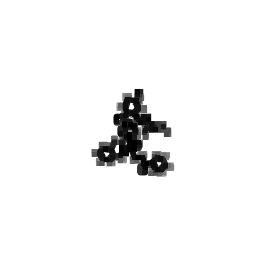 NCC[C@H](NC(=O)C1Cc2ccccc2CN1C(=O)CCC(=O)c1ccccc1)C(=O)Nc1cc(F)ccc1Cl